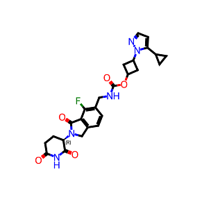 O=C1CC[C@@H](N2Cc3ccc(CNC(=O)OC4CC(n5nccc5C5CC5)C4)c(F)c3C2=O)C(=O)N1